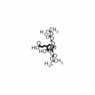 CC(C)OC(=O)OCOP(=O)(CC(CCC(=O)O)C(=O)O)OCOC(=O)OC(C)C